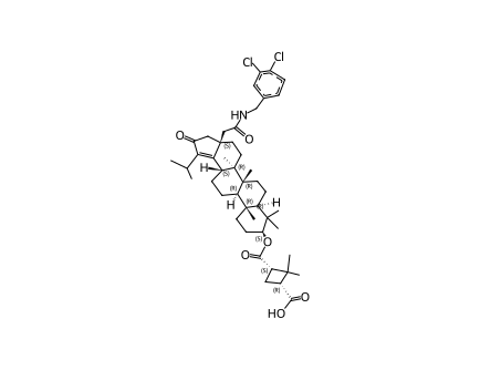 CC(C)C1=C2[C@H]3CC[C@@H]4[C@@]5(C)CC[C@H](OC(=O)[C@H]6C[C@@H](C(=O)O)C6(C)C)C(C)(C)[C@@H]5CC[C@@]4(C)[C@]3(C)CC[C@@]2(CC(=O)NCc2ccc(Cl)c(Cl)c2)CC1=O